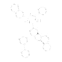 c1ccc(C2=NC(c3ccc4ccccc4c3)NC(c3cc(-c4cccc(-c5ccccc5)c4)c4oc5c6ccccc6ccc5c4c3)N2)cc1